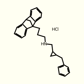 Cl.c1ccc(CC2CC2CNCCCC23CC(c4ccccc42)c2ccccc23)cc1